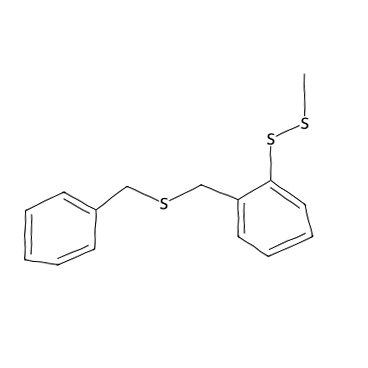 CSSc1ccccc1CSCc1ccccc1